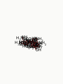 CC(C)CC(NC(=O)C(CCCNC(=N)N)NC(=O)C(CCC(N)=O)NC(=O)C(C)NC(=O)C(CCC(=O)O)NC(=O)C(NC(=O)C(Cc1c[nH]c2ccccc12)NC(=O)C(CCC(=O)O)NC(=O)C1CCCN1C(=O)C(Cc1ccc(O)cc1)NC(=O)C(CC(C)C)NC(=O)C(CCC(N)=O)NC(=O)C(CCCNC(=N)N)NC(=O)C(CC(N)=O)NC(=O)C(N)Cc1c[nH]c2ccccc12)C(C)O)C(=O)NC(CC(=O)O)C(=O)O